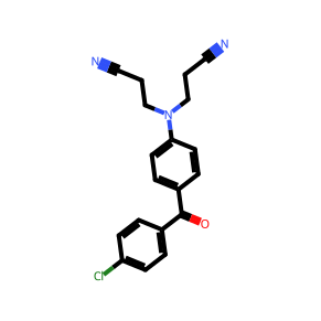 N#CCCN(CCC#N)c1ccc(C(=O)c2ccc(Cl)cc2)cc1